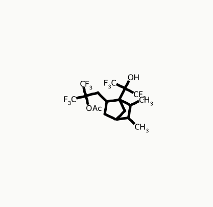 CC(=O)OC(CC1CC2CC1(C(O)(C(F)(F)F)C(F)(F)F)C(C)C2C)(C(F)(F)F)C(F)(F)F